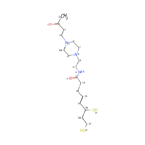 CC(=O)CCN1CCN(CCNC(=O)CCCCC(S)CCS)CC1